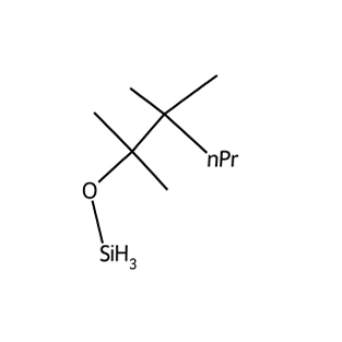 CCCC(C)(C)C(C)(C)O[SiH3]